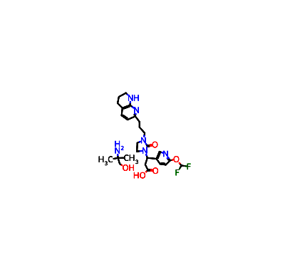 CC(C)(N)CO.O=C(O)CC(c1ccc(OC(F)F)nc1)N1CCN(CCCc2ccc3c(n2)NCCC3)C1=O